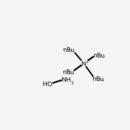 CCCC[N+](CCCC)(CCCC)CCCC.NO